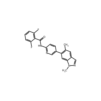 Cc1cc2cnn(C)c2cc1-c1ccc(NC(=O)c2c(F)cccc2F)nc1